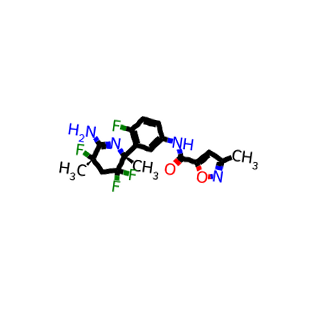 Cc1cc(C(=O)Nc2ccc(F)c([C@@]3(C)N=C(N)[C@](C)(F)CC3(F)F)c2)on1